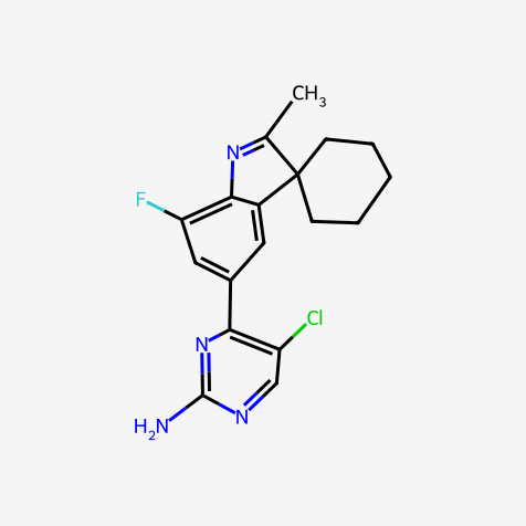 CC1=Nc2c(F)cc(-c3nc(N)ncc3Cl)cc2C12CCCCC2